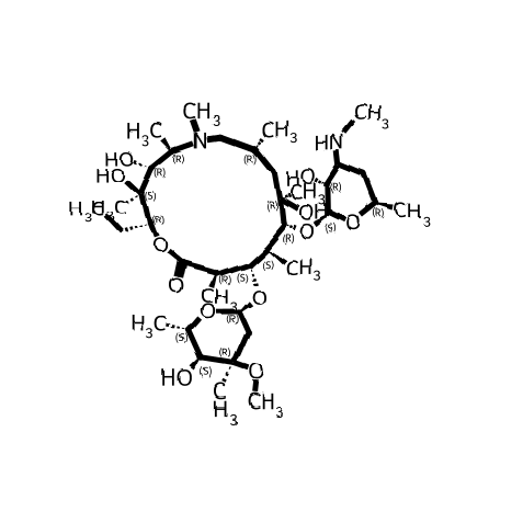 CC[C@H]1OC(=O)[C@H](C)[C@@H](O[C@H]2C[C@@](C)(OC)[C@@H](O)[C@H](C)O2)[C@H](C)[C@@H](O[C@@H]2O[C@H](C)CC(NC)[C@H]2O)[C@](C)(O)C[C@@H](C)CN(C)[C@H](C)[C@@H](O)[C@]1(C)O